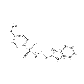 CCCCOc1ccc(S(=O)(=O)NCCc2cc3ccccc3[nH]2)cc1